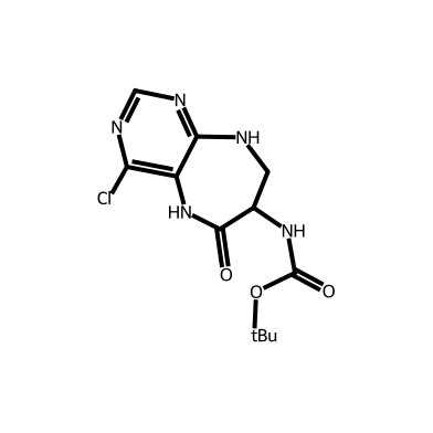 CC(C)(C)OC(=O)NC1CNc2ncnc(Cl)c2NC1=O